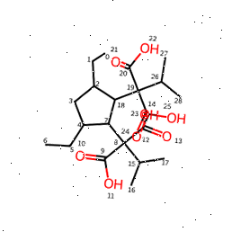 CCC1CC(CC)C(C(C(=O)O)(C(=O)O)C(C)C)C1C(C(=O)O)(C(=O)O)C(C)C